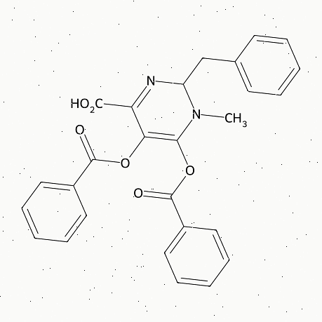 CN1C(OC(=O)c2ccccc2)=C(OC(=O)c2ccccc2)C(C(=O)O)=NC1Cc1ccccc1